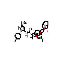 Cc1ccc(-n2nc(C(C)(C)C)cc2NC(=O)Nc2ccc(CC3CC4CCC(C3)N4C(=O)Cc3cc(F)cc(F)c3)cc2)cc1